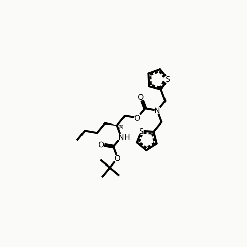 CCCC[C@@H](COC(=O)N(Cc1cccs1)Cc1cccs1)NC(=O)OC(C)(C)C